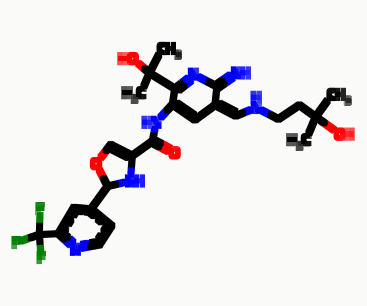 CC(C)(O)CCN/C=C1/C=C(NC(=O)C2=COC(c3ccnc(C(F)(F)F)c3)N2)C(C(C)(C)O)=NC1=N